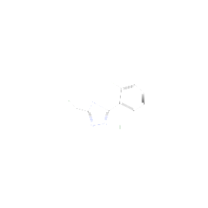 Cl.Fc1ccccc1-c1nnc(CCl)[nH]1